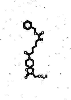 O=C(O)CN1CC2(CCN(C(=O)CCCCNC(=O)OCc3ccccc3)CC2)OC1=O